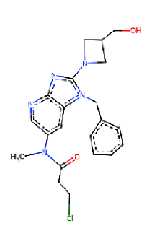 CN(C(=O)CCCl)c1cnc2nc(N3CC(CO)C3)n(Cc3ccccc3)c2c1